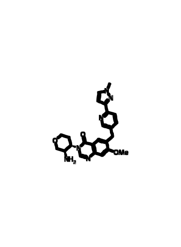 COc1cc2ncn([C@H]3CCOC[C@@H]3N)c(=O)c2cc1Cc1ccc(-c2ccn(C)n2)nc1